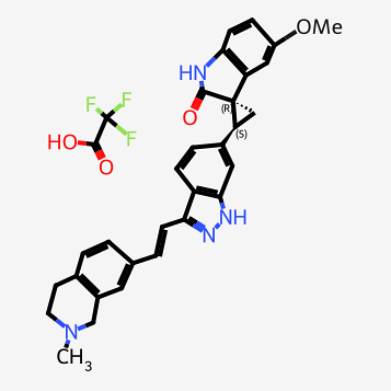 COc1ccc2c(c1)[C@]1(C[C@H]1c1ccc3c(C=Cc4ccc5c(c4)CN(C)CC5)n[nH]c3c1)C(=O)N2.O=C(O)C(F)(F)F